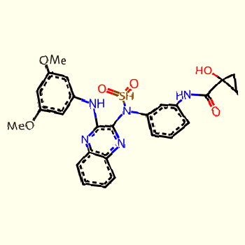 COc1cc(Nc2nc3ccccc3nc2N(c2cccc(NC(=O)C3(O)CC3)c2)[SH](=O)=O)cc(OC)c1